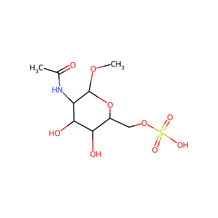 COC1OC(COS(=O)(=O)O)C(O)C(O)C1NC(C)=O